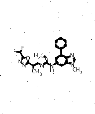 C=N/C(=N\C=C(/C)c1nnc(C(F)F)o1)Nc1cc(-c2ccccc2)c2ncn(C)c2c1